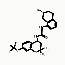 CC1(C)C[C@@H](NC(=O)Nc2cccc3c2C[C@@H](O)CC3)c2ccc(OC(F)(F)F)cc2O1